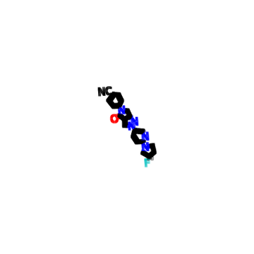 N#Cc1ccc(N2Cc3nn(-c4ccc(N5CC[C@H](F)C5)nc4)cc3C2=O)cc1